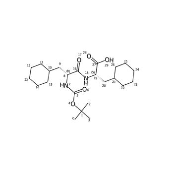 CC(C)(C)OC(=O)N[C@H](CC1CCCCC1)C(=O)N[C@@H](CC1CCCCC1)C(=O)O